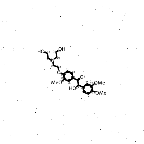 COc1ccc(C(O)C(=O)c2ccc(OCCN(CCO)CCO)c(OC)c2)cc1OC